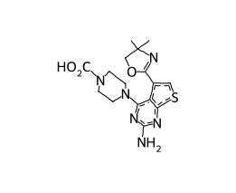 CC1(C)COC(c2csc3nc(N)nc(N4CCN(C(=O)O)CC4)c23)=N1